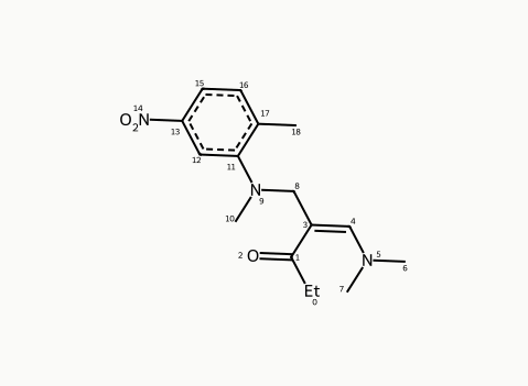 CCC(=O)/C(=C\N(C)C)CN(C)c1cc([N+](=O)[O-])ccc1C